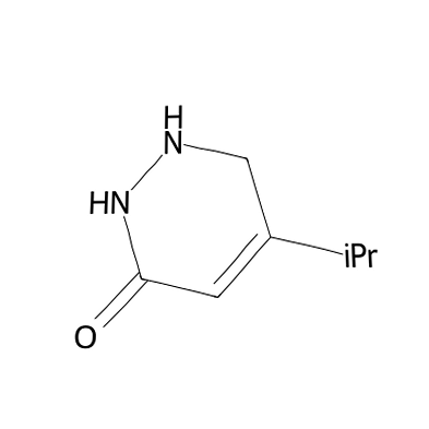 CC(C)C1=CC(=O)NNC1